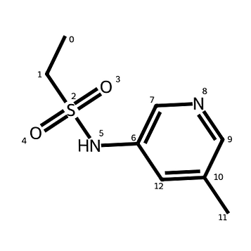 CCS(=O)(=O)Nc1cncc(C)c1